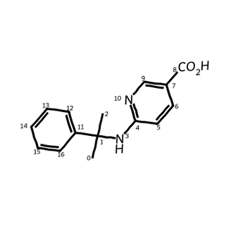 CC(C)(Nc1ccc(C(=O)O)cn1)c1ccccc1